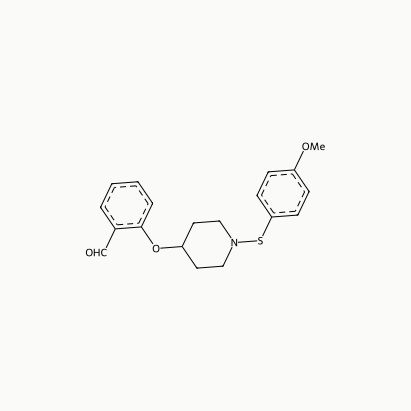 COc1ccc(SN2CCC(Oc3ccccc3C=O)CC2)cc1